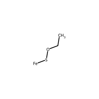 CCO[S][Fe]